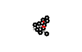 c1ccc(-c2cccc(N(c3cccc4sc5ccccc5c34)c3cccc4c3c3ccccc3n4-c3ccccc3)c2-c2cccc3c2sc2c4ccccc4ccc32)cc1